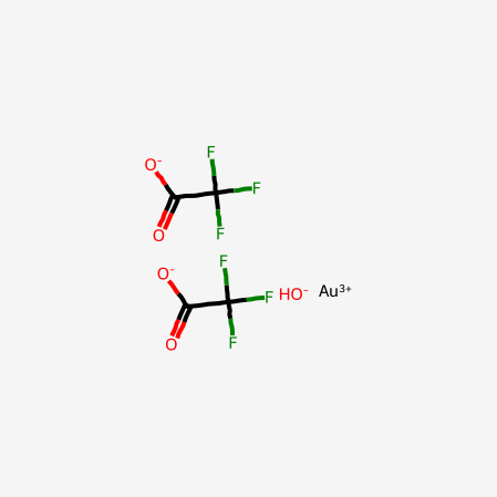 O=C([O-])C(F)(F)F.O=C([O-])C(F)(F)F.[Au+3].[OH-]